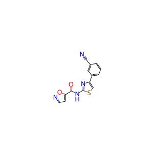 N#Cc1cccc(-c2csc(NC(=O)c3ccno3)n2)c1